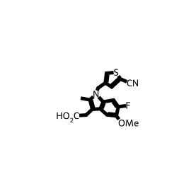 COc1cc2c(CC(=O)O)c(C)n(Cc3csc(C#N)c3)c2cc1F